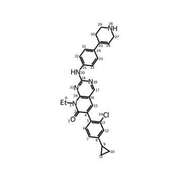 CCn1c(=O)c(-c2ccc(C3CC3)cc2Cl)cc2cnc(Nc3ccc(C4=CCNCC4)cc3)nc21